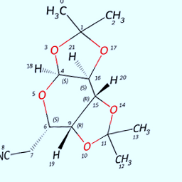 CC1(C)O[C@@H]2O[C@@H](CC#N)[C@H]3OC(C)(C)O[C@H]3[C@@H]2O1